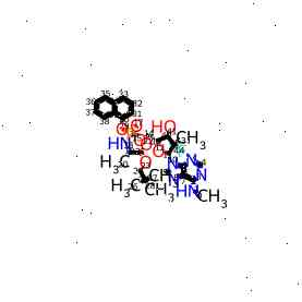 CNc1ncnc2c1ncn2[C@@H]1O[C@H](COP(=O)(N[C@@H](C)C(=O)OCC(C)(C)C)Oc2cccc3ccccc23)[C@@H](O)[C@@]1(C)F